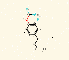 O=C(O)CCc1ccc(OC(F)F)c(F)c1